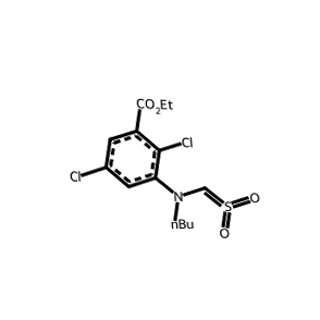 CCCCN(C=S(=O)=O)c1cc(Cl)cc(C(=O)OCC)c1Cl